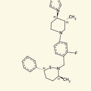 C[C@@H]1CN(c2ccc(CN3S[C@@H](c4ccccc4)CC[C@@H]3C)c(F)c2)CC[C@H]1n1cnnc1